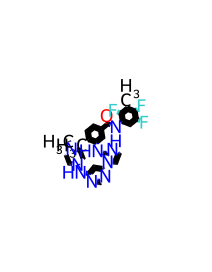 Cc1ccc(C(=O)Nc2cc(F)c(F)c(C)c2F)cc1Nc1nccn1-c1cc(NN2CCN(C)CC2)ncn1